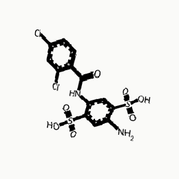 Nc1cc(S(=O)(=O)O)c(NC(=O)c2ccc(Cl)cc2Cl)cc1S(=O)(=O)O